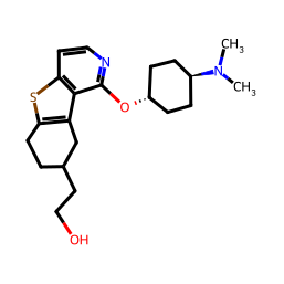 CN(C)[C@H]1CC[C@H](Oc2nccc3sc4c(c23)CC(CCO)CC4)CC1